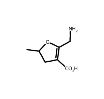 CC1CC(C(=O)O)=C(CN)O1